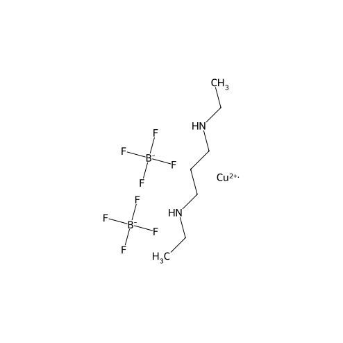 CCNCCCNCC.F[B-](F)(F)F.F[B-](F)(F)F.[Cu+2]